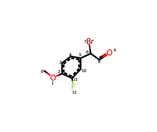 COc1ccc(C(Br)C=O)cc1F